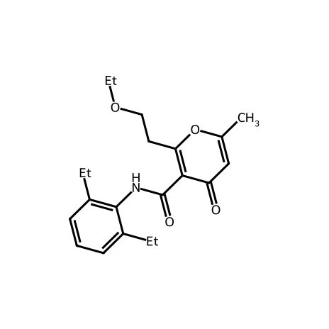 CCOCCc1oc(C)cc(=O)c1C(=O)Nc1c(CC)cccc1CC